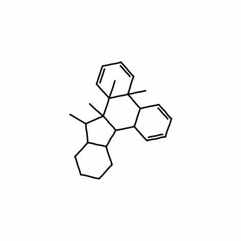 CC1C2CCCCC2C2C3C=CC=CC3C3(C)C=CC=CC3(C)C12C